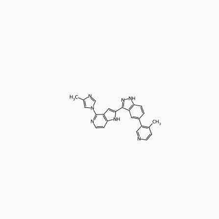 Cc1cn(-c2nccc3[nH]c(-c4n[nH]c5ccc(-c6cnccc6C)cc45)cc23)cn1